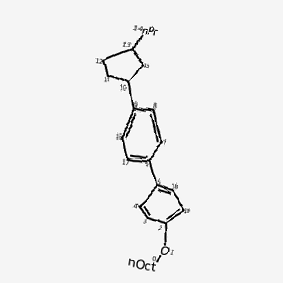 CCCCCCCCOc1ccc(-c2ccc(C3CCC(CCC)C3)cc2)cc1